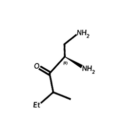 CCC(C)C(=O)[C@H](N)CN